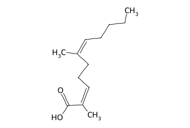 CCCCC=C(C)CCC=C(C)C(=O)O